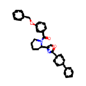 O=C(c1cccc(OCc2ccccc2)c1)N1CCCCC1c1coc(-c2ccc(-c3ccccc3)cc2)n1